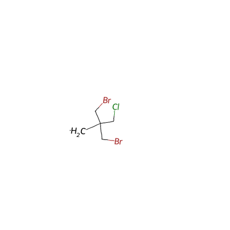 [CH2]C(CCl)(CBr)CBr